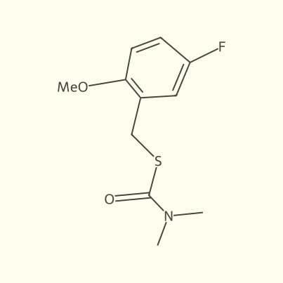 COc1ccc(F)cc1CSC(=O)N(C)C